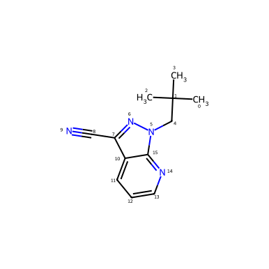 CC(C)(C)Cn1nc(C#N)c2cccnc21